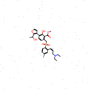 CCN(CC)C/C=C\c1cc(F)ccc1S(=O)(=O)Cc1ccc(-c2ccoc2C(C)O)c(O)c1C(=O)OC